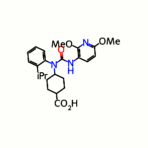 COc1ccc(NC(=O)N(c2ccccc2C(C)C)C2CCC(C(=O)O)CC2)c(OC)n1